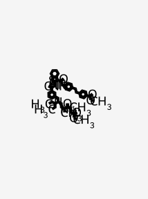 CCC(CC)N(CCN(C)C(=O)[C@H](C)CC(=O)OC)Cc1cccc(C(=O)Nc2sc3c(c2C(=O)Nc2ccc(CCc4ccc(C(=O)OC)cc4)cc2)CCCC3)c1